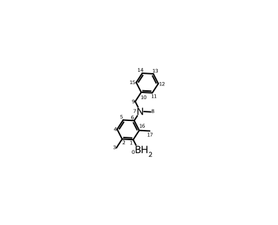 Bc1c(C)ccc(N(C)Cc2ccccc2)c1C